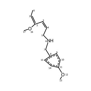 C/C=C(\C=C/CNCc1ccc(OC)cc1)OC